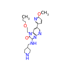 CCCOCCn1c(=O)c(NCC2CCNCC2)nc2ncc(-c3ccc(OC)nc3)cc21